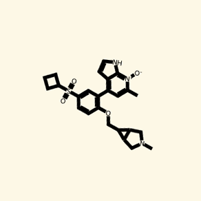 Cc1cc(-c2cc(S(=O)(=O)C3CCC3)ccc2OCC2C3CN(C)CC23)c2cc[nH]c2[n+]1[O-]